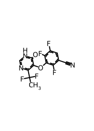 CC(F)(F)c1nc[nH]c(=O)c1Oc1c(F)c(F)cc(C#N)c1F